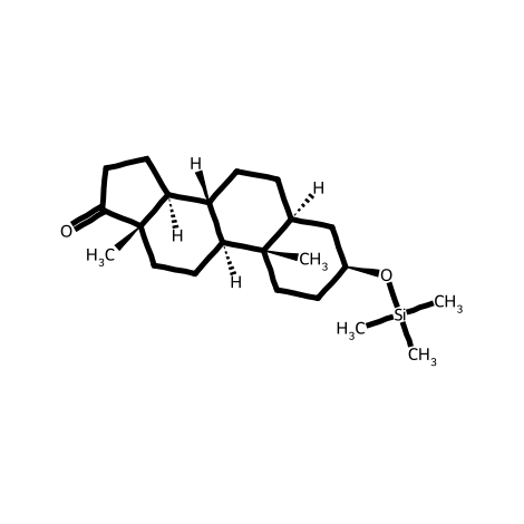 C[C@]12CC[C@H](O[Si](C)(C)C)C[C@@H]1CC[C@@H]1[C@@H]2CC[C@]2(C)C(=O)CC[C@@H]12